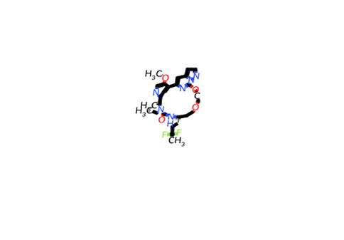 CCN1C(=O)N[C@@H](CCC(C)(F)F)CCOCCOc2nc(cc3ccnn23)-c2cc(ncc2OC)[C@H]1C